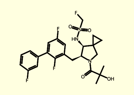 CC(C)(O)C(=O)N1CC2(CC2)[C@H](NS(=O)(=O)CF)[C@@H]1Cc1cc(F)cc(-c2cccc(F)c2)c1F